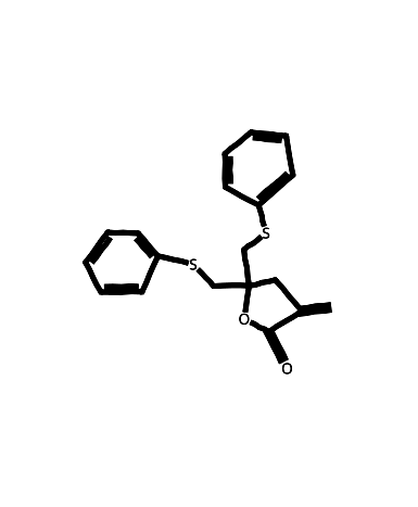 C=C1CC(CSc2ccccc2)(CSc2ccccc2)OC1=O